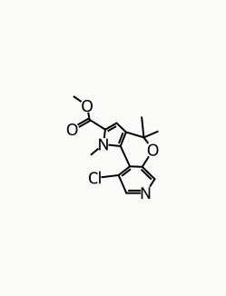 COC(=O)c1cc2c(n1C)-c1c(Cl)cncc1OC2(C)C